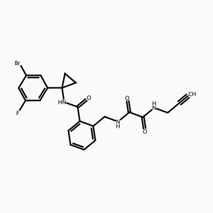 C#CCNC(=O)C(=O)NCc1ccccc1C(=O)NC1(c2cc(F)cc(Br)c2)CC1